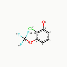 [O]c1cccc(OC(F)(F)F)c1Cl